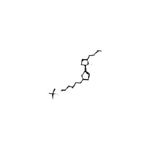 CCCCC1CCC(C2=CCC(CCCCCCOC(C)(C)C)C2)C1